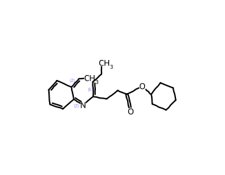 C/C=C1/C=CC=C/C1=N/C(=C/CC)CCC(=O)OC1CCCCC1